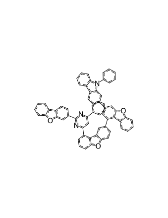 c1ccc(-c2cc(-c3cccc4oc5ccc(-c6cc(-c7ccc8c9ccccc9n(-c9ccccc9)c8c7)cc7oc8ccccc8c67)cc5c34)nc(-c3ccc4c(c3)oc3ccccc34)n2)cc1